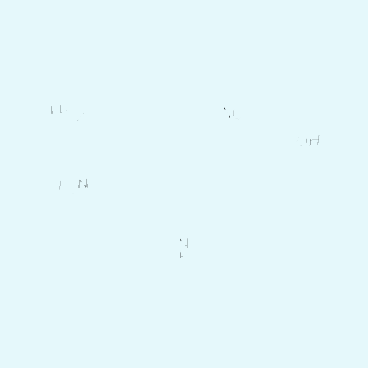 N[C@@H](Cc1c[nH]c2ccc(O)c([N+](=O)[O-])c12)C(=O)O